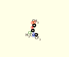 Cc1nc2c(C(F)(F)F)cccc2n1-c1ccc(Oc2cccc(S(C)(=O)=O)c2)cc1Cl